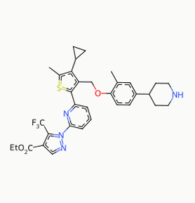 CCOC(=O)c1cnn(-c2cccc(-c3sc(C)c(C4CC4)c3COc3ccc(C4CCNCC4)cc3C)n2)c1C(F)(F)F